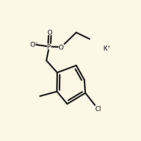 CCOP(=O)([O-])Cc1ccc(Cl)cc1C.[K+]